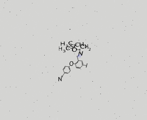 C=C(/N=C/c1cc(I)ccc1Oc1ccc(C#N)cc1)O[Si](C)(C)C